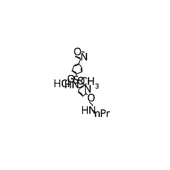 CCCNCCOc1ccc(NS(=O)(=O)c2ccc(-c3cocn3)cc2)c(C)n1.Cl